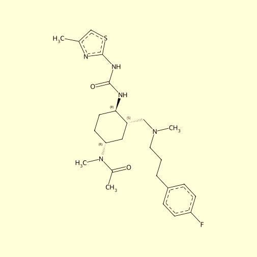 CC(=O)N(C)[C@@H]1CC[C@@H](NC(=O)Nc2nc(C)cs2)[C@H](CN(C)CCCc2ccc(F)cc2)C1